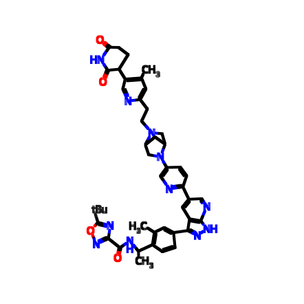 Cc1cc(-c2n[nH]c3ncc(-c4ccc(N5CC6CC5CN6CCc5cc(C)c(C6CCC(=O)NC6=O)cn5)cn4)cc23)ccc1C(C)NC(=O)c1noc(C(C)(C)C)n1